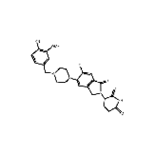 COc1cc(CN2CCN(c3cc4c(cc3F)C(=O)N(C3CCC(=O)NC3=O)C4)CC2)ccc1C#N